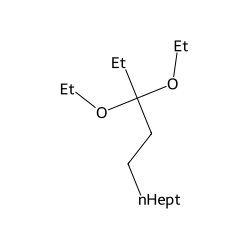 CCCCCCCCCC(CC)(OCC)OCC